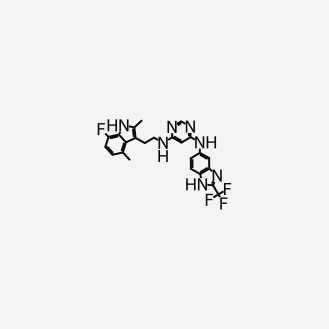 Cc1[nH]c2c(F)ccc(C)c2c1CCNc1cc(Nc2ccc3[nH]c(C(F)(F)F)nc3c2)ncn1